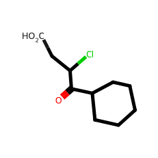 O=C(O)CC(Cl)C(=O)C1CCCCC1